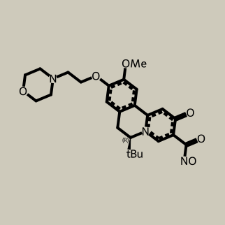 COc1cc2c(cc1OCCN1CCOCC1)C[C@H](C(C)(C)C)n1cc(C(=O)N=O)c(=O)cc1-2